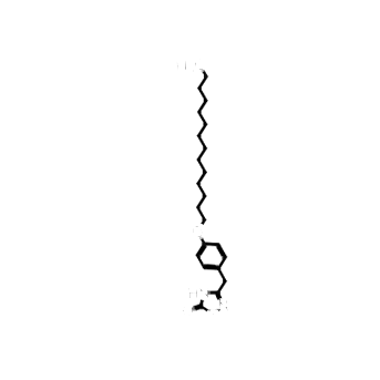 CCCCCCCCCCCCCCOc1ccc(Cc2nsc(=O)[nH]2)cc1